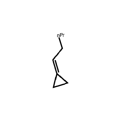 [CH2]CCCC=C1CC1